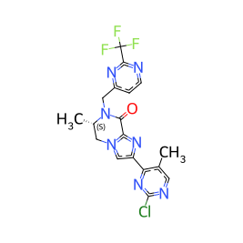 Cc1cnc(Cl)nc1-c1cn2c(n1)C(=O)N(Cc1ccnc(C(F)(F)F)n1)[C@@H](C)C2